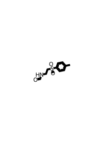 Cc1ccc(S(=O)(=O)CCNC=O)cc1